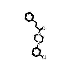 O=C(CCc1ccccc1)N1CCN(c2cccc(Cl)c2)CC1